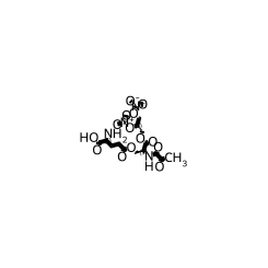 CC(=O)C(=O)N[C@@H](COC(=O)CC[C@H](N)C(=O)O)C(=O)OC[C@@H](CO[N+](=O)[O-])O[N+](=O)[O-]